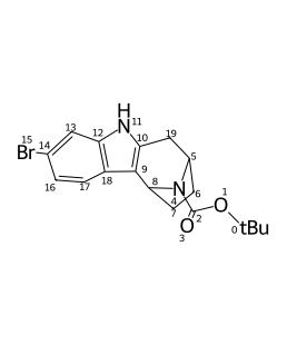 CC(C)(C)OC(=O)N1C2CCC1c1c([nH]c3cc(Br)ccc13)C2